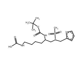 CC(C)(C)OC(=O)NC(CCCCNC(=O)O)CN(Cc1cccs1)S(C)(=O)=O